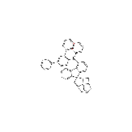 c1ccc(-c2ccc(N(c3ccccc3)c3cccc4c3-c3ccccc3C43C4CC5CC6CC3C6(C5)C4)c(-c3ccccc3)c2)cc1